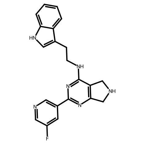 Fc1cncc(-c2nc3c(c(NCCc4c[nH]c5ccccc45)n2)CNC3)c1